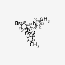 Cc1ccc(S(=O)(=O)n2c(Cc3ccc(C)cn3)cc3cc(Br)ccc32)cc1